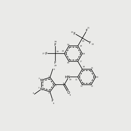 Cc1nn(C)c(F)c1C(=O)Nc1ccccc1-c1cc(C(F)(F)F)cc(C(F)(F)F)c1